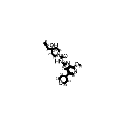 C#CCC1(O)CCN(C(=O)Nc2nc3c(OC)ncc(C4CCOCC4)c3s2)CC1